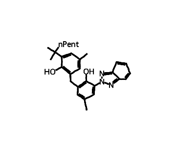 CCCCCC(C)(C)c1cc(C)cc(Cc2cc(C)cc(-n3nc4ccccc4n3)c2O)c1O